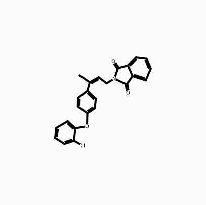 CC(=CCN1C(=O)c2ccccc2C1=O)c1ccc(Oc2ccccc2Cl)cc1